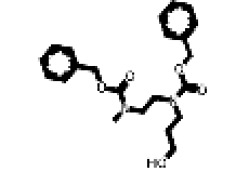 CN(CCN(CCCO)C(=O)OCc1ccccc1)C(=O)OCc1ccccc1